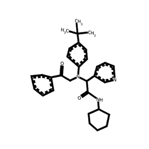 CC(C)(C)c1ccc(N(CC(=O)c2ccccc2)C(C(=O)NC2CCCCC2)c2cccnc2)cc1